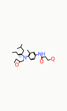 CC/C=C(\CC(C)C)N(CC1CCO1)c1ccc(NC(=O)CCOC)cc1C